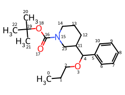 CCCOC(c1ccccc1)C1CCCN(C(=O)OC(C)(C)C)C1